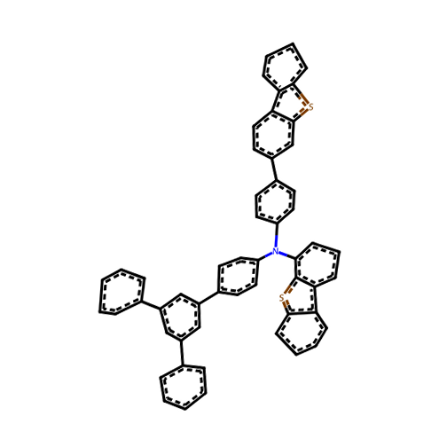 c1ccc(-c2cc(-c3ccccc3)cc(-c3ccc(N(c4ccc(-c5ccc6c(c5)sc5ccccc56)cc4)c4cccc5c4sc4ccccc45)cc3)c2)cc1